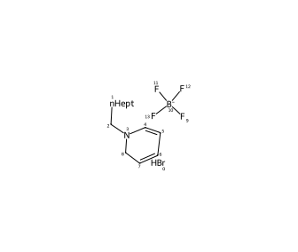 Br.CCCCCCCCN1C=CC=CC1.F[B-](F)(F)F